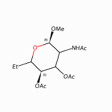 CCC1O[C@@H](OC)C(NC(C)=O)C(OC(C)=O)[C@H]1OC(C)=O